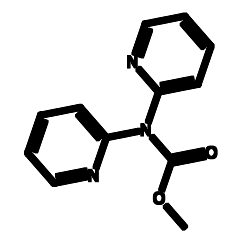 COC(=O)N(c1ccccn1)c1ccccn1